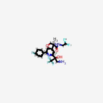 C[C@]1(C(=O)NCC(F)F)COc2c1cc(C(O)(CN)C(F)(F)F)nc2-c1ccc(F)cc1